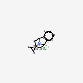 Cl.c1ccc2c(c1)C1CCCC2N1C1CC1